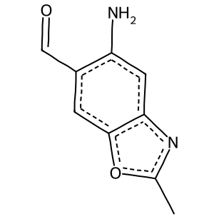 Cc1nc2cc(N)c(C=O)cc2o1